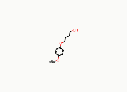 CCCCOc1ccc(OCCCCO)cc1